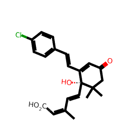 CC(=C/C(=O)O)/C=C/[C@@]1(O)C(/C=C/c2ccc(Cl)cc2)=CC(=O)CC1(C)C